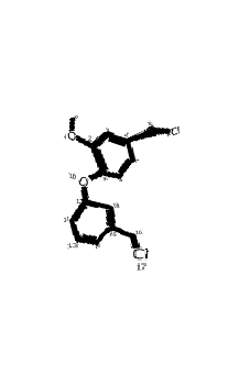 COc1cc(CCl)ccc1Oc1cccc(CCl)c1